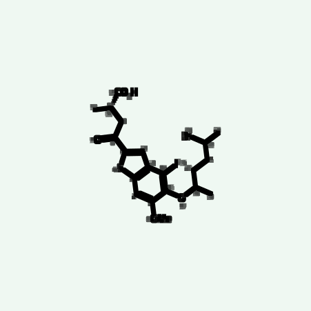 COc1cc2sc(C(=O)C[C@H](C)C(=O)O)cc2c(F)c1OC(C)CCC(C)Br